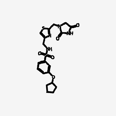 O=C1CN(Cc2nc(CNS(=O)(=O)c3cccc(OC4CCCC4)c3)cs2)C(=O)N1